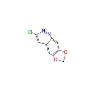 Clc1cc2cc3c(cc2nn1)OCO3